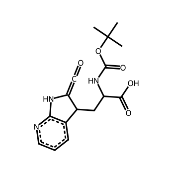 CC(C)(C)OC(=O)NC(CC1C(=C=O)Nc2ncccc21)C(=O)O